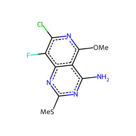 COc1nc(Cl)c(F)c2nc(SC)nc(N)c12